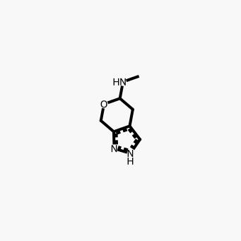 CNC1Cc2c[nH]nc2CO1